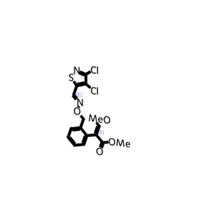 CO/C=C(/C(=O)OC)c1ccccc1CO/N=C/c1snc(Cl)c1Cl